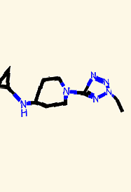 CCn1nnc(N2CCC(NC3CC3)CC2)n1